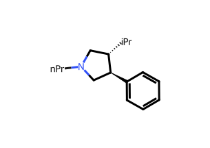 CCCN1C[C@H](c2ccccc2)[C@@H](C(C)C)C1